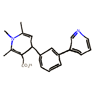 CC1=CC(c2cccc(-c3cccnc3)c2)C(C(=O)O)=C(C)N1C